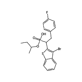 CCC(C)OP(=O)(O)C(Cc1ccc(F)cc1)c1sc2ccccc2c1Br